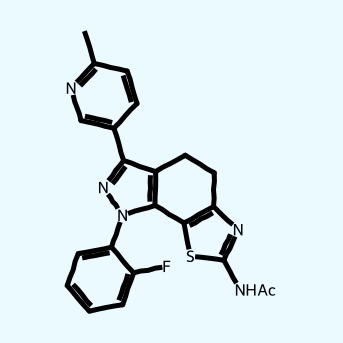 CC(=O)Nc1nc2c(s1)-c1c(c(-c3ccc(C)nc3)nn1-c1ccccc1F)CC2